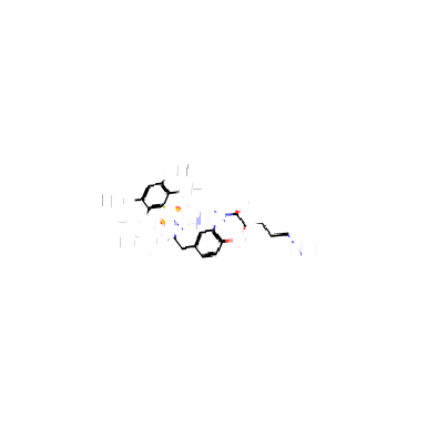 Cc1cc(C)c(C)c(S(=O)(=O)N[C@@H](Cc2ccc3c(c2)NC(=O)[C@@H](CCCN)O3)C(=O)O)c1C